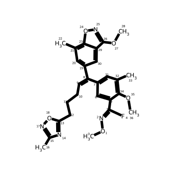 CON=C(F)c1cc(/C(=C\CCCc2nc(C)no2)c2cc(C)c3onc(OC)c3c2)cc(C)c1OC